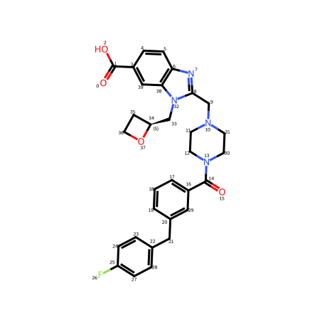 O=C(O)c1ccc2nc(CN3CCN(C(=O)c4cccc(Cc5ccc(F)cc5)c4)CC3)n(C[C@@H]3CCO3)c2c1